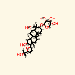 CC(C)(O)C1CC[C@](C)(C2C(O)C[C@@]3(C)C4C[C@H](O)[C@H]5C(C)(C)C(OC6OC[C@@H](O)C(O)[C@H]6O)CCC56CC46CCC23C)O1